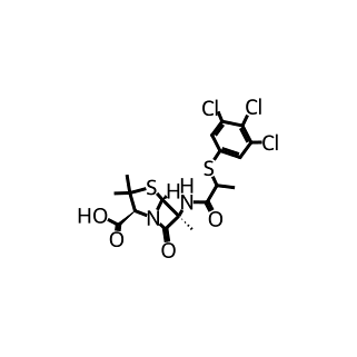 CC(Sc1cc(Cl)c(Cl)c(Cl)c1)C(=O)N[C@@]1(C)C(=O)N2[C@@H](C(=O)O)C(C)(C)S[C@@H]21